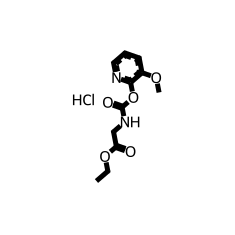 CCOC(=O)CNC(=O)Oc1ncccc1OC.Cl